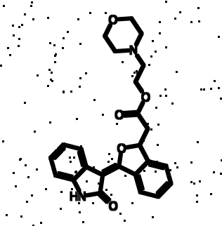 O=C(CC1O/C(=C2/C(=O)Nc3ccccc32)c2ccccc21)OCCN1CCOCC1